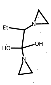 CCC(N1CC1)C(O)(O)N1CC1